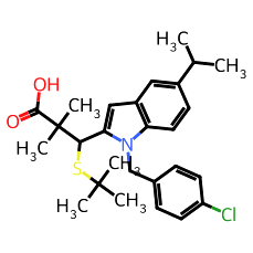 CC(C)c1ccc2c(c1)cc(C(SC(C)(C)C)C(C)(C)C(=O)O)n2Cc1ccc(Cl)cc1